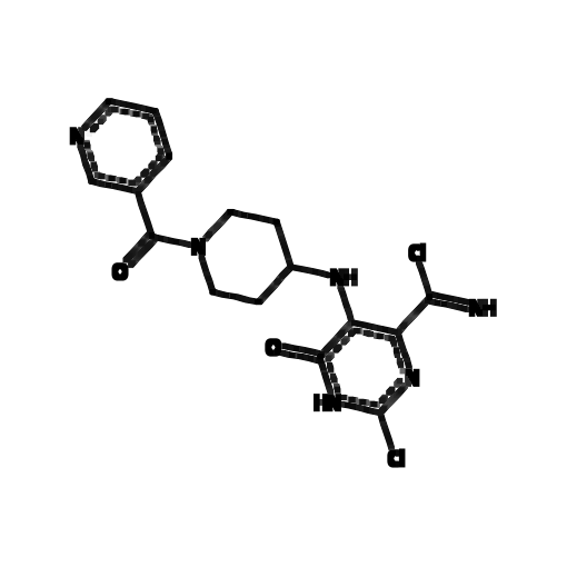 N=C(Cl)c1nc(Cl)[nH]c(=O)c1NC1CCN(C(=O)c2cccnc2)CC1